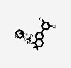 CC1(C)CCc2cc(-c3cc(Cl)cc(Cl)c3)ccc2C1NC(=O)O[C@H]1CN2CCC1CC2